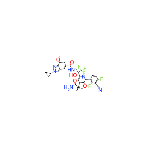 COc1cc(C(=O)NCC(O)(c2cc3c(c(-c4ccc(F)c(C#N)c4F)n2)OC[C@]3(C)C(N)=O)C(F)(F)F)cc2cn(C3CC3)nc12